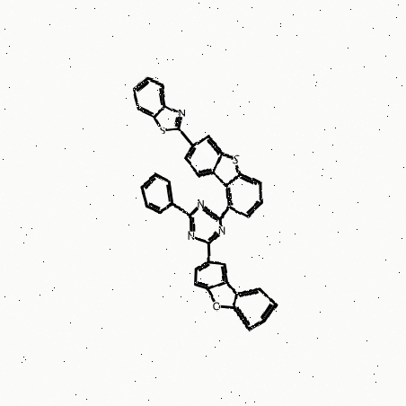 c1ccc(-c2nc(-c3ccc4oc5ccccc5c4c3)nc(-c3cccc4sc5cc(-c6nc7ccccc7s6)ccc5c34)n2)cc1